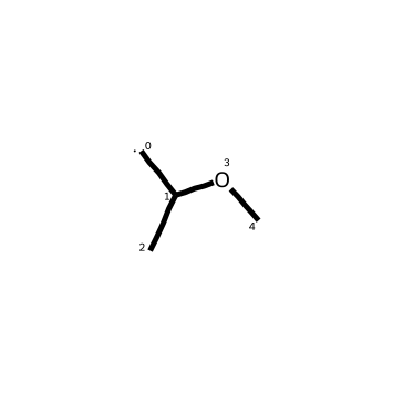 [CH2]C(C)OC